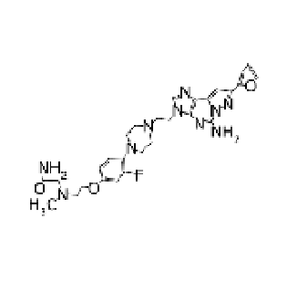 CN(CCOc1ccc(N2CCN(CCn3cnc4c3nc(N)n3nc(-c5ccco5)cc43)CC2)c(F)c1)CC(N)=O